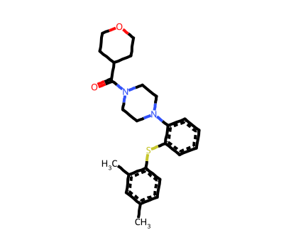 Cc1ccc(Sc2ccccc2N2CCN(C(=O)C3CCOCC3)CC2)c(C)c1